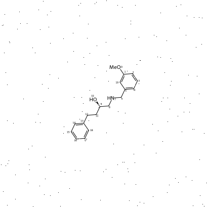 COc1cccc(CNC[C@H](O)[CH]Cc2ccccc2)c1